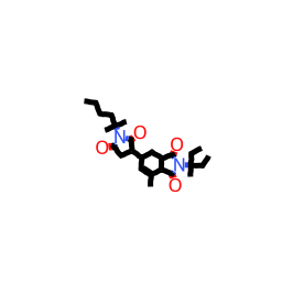 CCCCC(C)(C)N1C(=O)CC(C2C=C(C)C3C(=O)N(C(C)(CC)CC)C(=O)C3C2)C1=O